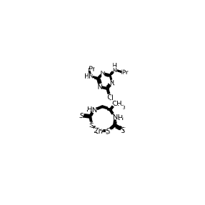 CC(C)Nc1nc(Cl)nc(NC(C)C)n1.CC1CNC(=S)[S][Zn][S]C(=S)N1